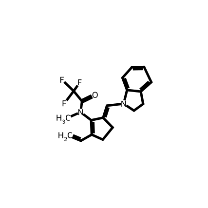 C=CC1=C(N(C)C(=O)C(F)(F)F)/C(=C/N2CCc3ccccc32)CC1